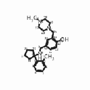 Cc1ccccc1C1(NCc2ccc(O)c(CN3CCN(C)CC3)c2)CCCC1